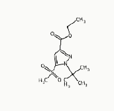 CCOC(=O)c1cc(S(C)(=O)=O)n(C(C)(C)C)n1